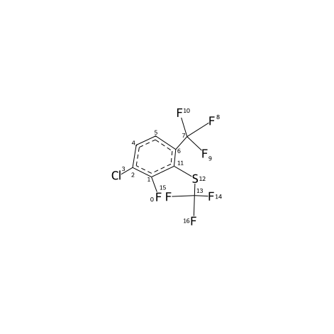 Fc1c(Cl)ccc(C(F)(F)F)c1SC(F)(F)F